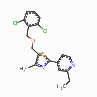 CCc1cc(-c2nc(C)c(COCc3c(Cl)cccc3Cl)s2)ccn1